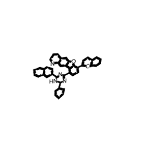 c1ccc(C2N=C(c3ccc(-c4ccc5ccccc5c4)c4oc5cc6cccnc6cc5c34)N=C(c3ccc4ccccc4c3)N2)cc1